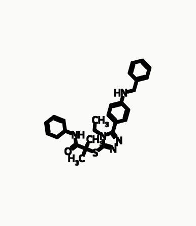 CCn1c(SC(C)(C)C(=O)NC2C=CC=CC2)nnc1-c1ccc(NCc2ccccc2)cc1